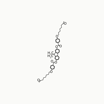 CC1(C)c2cc(OC(=O)c3ccc(OCCCCCCC4CO4)cc3)ccc2-c2ccc(OC(=O)c3ccc(OCCCCCCC4CO4)cc3)cc21